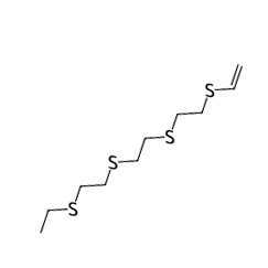 C=CSCCSCCSCCSCC